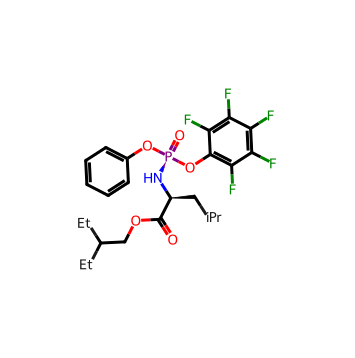 CCC(CC)COC(=O)[C@H](CC(C)C)N[P@](=O)(Oc1ccccc1)Oc1c(F)c(F)c(F)c(F)c1F